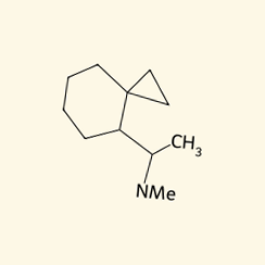 CNC(C)C1CCCCC12CC2